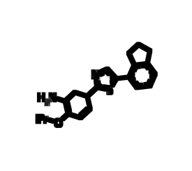 CC(C)OC1=C(N)CC(c2ncc(-c3cccc4c3CCC4)s2)C=C1